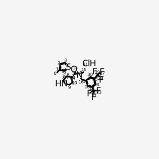 Cc1ccsc1[C@H]1CNCC[C@@H]1C(=O)N(C)Cc1cc(C(F)(F)F)cc(C(F)(F)F)c1.Cl